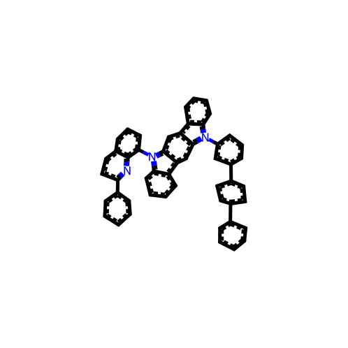 c1ccc(-c2ccc(-c3cccc(-n4c5ccccc5c5cc6c(cc54)c4ccccc4n6-c4cccc5ccc(-c6ccccc6)nc45)c3)cc2)cc1